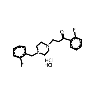 Cl.Cl.O=C(CCN1CCN(Cc2ccccc2F)CC1)c1ccccc1F